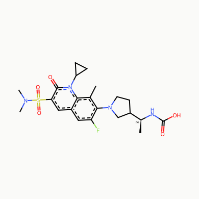 Cc1c(N2CCC([C@H](C)NC(=O)O)C2)c(F)cc2cc(S(=O)(=O)N(C)C)c(=O)n(C3CC3)c12